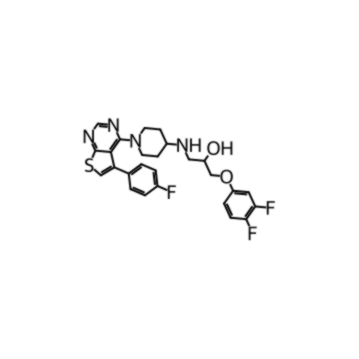 OC(CNC1CCN(c2ncnc3scc(-c4ccc(F)cc4)c23)CC1)COc1ccc(F)c(F)c1